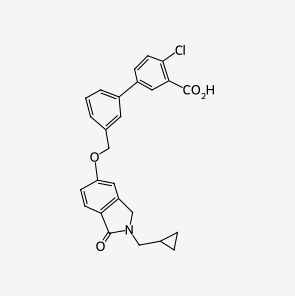 O=C(O)c1cc(-c2cccc(COc3ccc4c(c3)CN(CC3CC3)C4=O)c2)ccc1Cl